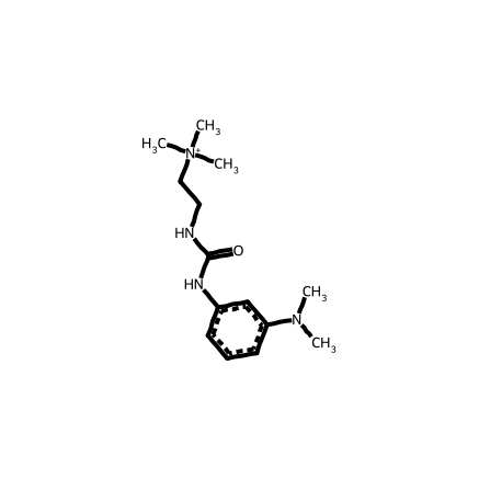 CN(C)c1cccc(NC(=O)NCC[N+](C)(C)C)c1